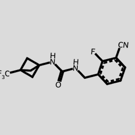 N#Cc1cccc(CNC(=O)NC23CC(C(F)(F)F)(C2)C3)c1F